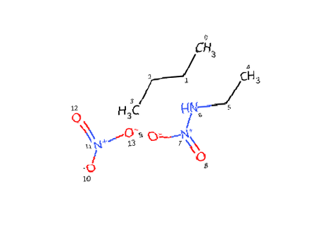 CCCC.CCN[N+](=O)[O-].[O][N+](=O)[O-]